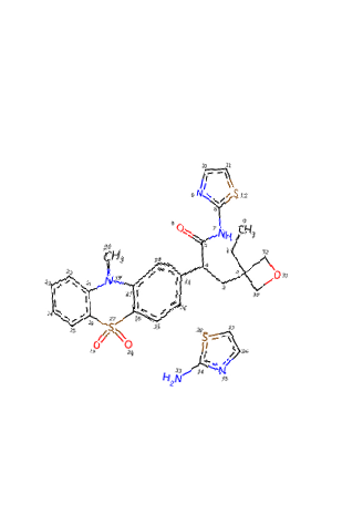 CCC1(CC(C(=O)Nc2nccs2)c2ccc3c(c2)N(C)c2ccccc2S3(=O)=O)COC1.Nc1nccs1